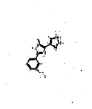 Cc1sc(-c2cccc(C(F)(F)F)c2)nc1-c1c[nH]nn1